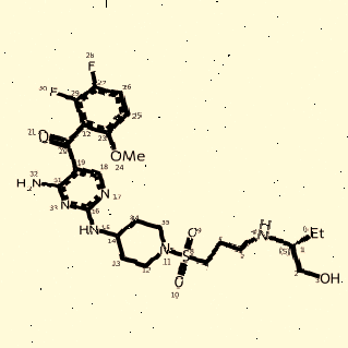 CC[C@@H](CO)NCCCS(=O)(=O)N1CCC(Nc2ncc(C(=O)c3c(OC)ccc(F)c3F)c(N)n2)CC1